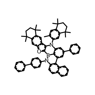 Cc1cc2c(cc1N1c3cc(-c4ccccc4)cc4c3B(c3oc5cc6c(cc5c31)C(C)(C)CCC6(C)C)N(c1ccc(-c3ccccc3)cc1)c1ccc3ccccc3c1-4)C(C)(C)CCC2(C)C